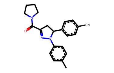 Cc1ccc(N2N=C(C(=O)N3CCCC3)CC2c2ccc(C#N)cc2)cc1